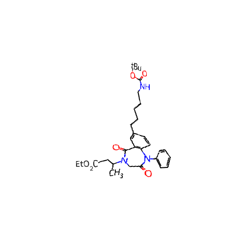 CCOC(=O)CC(C)N1CC(=O)N(c2ccccc2)c2ccc(CCCCCNC(=O)OC(C)(C)C)cc2C1=O